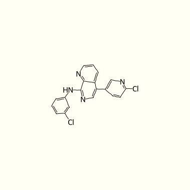 Clc1cccc(Nc2ncc(-c3ccc(Cl)nc3)c3cccnc23)c1